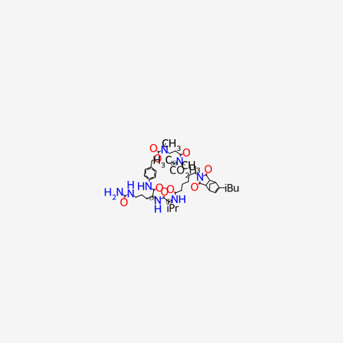 CCC(C)C1=CC2CC1C1C(=O)N(CCCCCC(=O)N[C@H](C(=O)N[C@@H](CCCNC(N)=O)C(=O)Nc3ccc(COC(=O)N(C)CCC(=O)N(C)[C@@H](C)C(=O)O)cc3)C(C)C)C(=O)C21